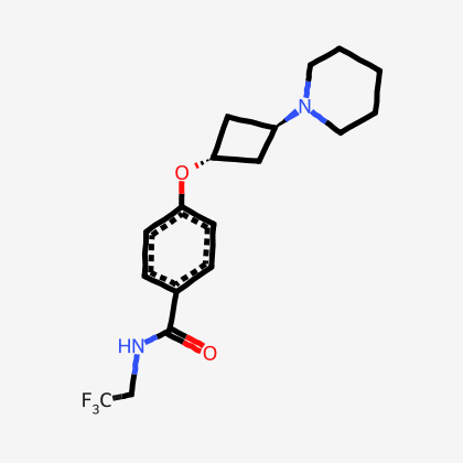 O=C(NCC(F)(F)F)c1ccc(O[C@H]2C[C@H](N3CCCCC3)C2)cc1